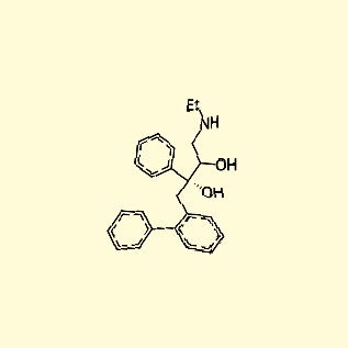 CCNCC(O)[C@@](O)(Cc1ccccc1-c1ccccc1)c1ccccc1